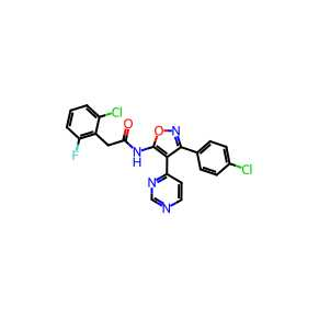 O=C(Cc1c(F)cccc1Cl)Nc1onc(-c2ccc(Cl)cc2)c1-c1ccncn1